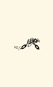 O=C(O)Cc1ccc(NC(=O)[C@H](CCc2ccccc2)NS(=O)(=O)c2ccc(Br)cc2)cc1